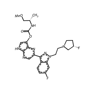 COC[C@H](C)NC(=O)Oc1c[nH]c2ncc(-c3nn(CCN4CC[C@H](F)C4)c4cc(F)ccc34)nc12